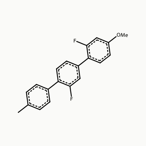 COc1ccc(-c2ccc(-c3ccc(C)cc3)c(F)c2)c(F)c1